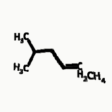 C.C=CCC(C)C